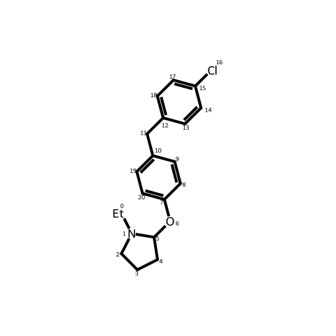 CCN1CCCC1Oc1ccc(Cc2ccc(Cl)cc2)cc1